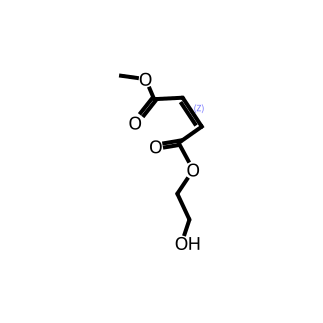 COC(=O)/C=C\C(=O)OCCO